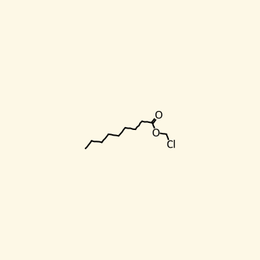 CCCCCCCCC(=O)OCCl